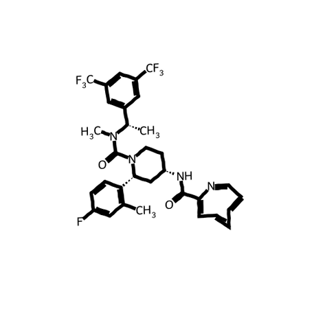 Cc1cc(F)ccc1[C@H]1C[C@@H](NC(=O)C2=C/C=C/C=C/C=N\2)CCN1C(=O)N(C)[C@@H](C)c1cc(C(F)(F)F)cc(C(F)(F)F)c1